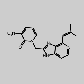 CC(C)=Cc1ncnc2[nH]c(Cn3cccc([N+](=O)[O-])c3=O)nc12